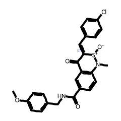 COc1ccc(CNC(=O)c2ccc3c(c2)C(=O)/C(=C/c2ccc(Cl)cc2)[S+]([O-])N3C)cc1